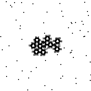 c1ccc(-c2ccccc2-c2ccc(-c3ccccc3-c3ccccc3)c3nc(-c4ccc(N(c5ccccc5)c5ccccc5)cc4)c(-c4ccccc4)nc23)cc1